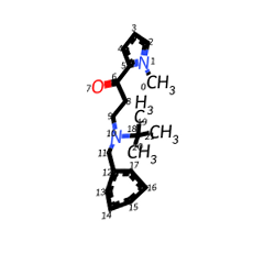 Cn1cccc1C(=O)CCN(Cc1ccccc1)C(C)(C)C